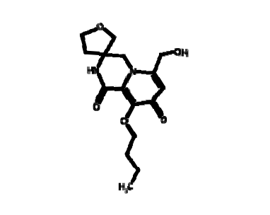 CCCCOc1c2n(c(CO)cc1=O)CC1(CCOC1)NC2=O